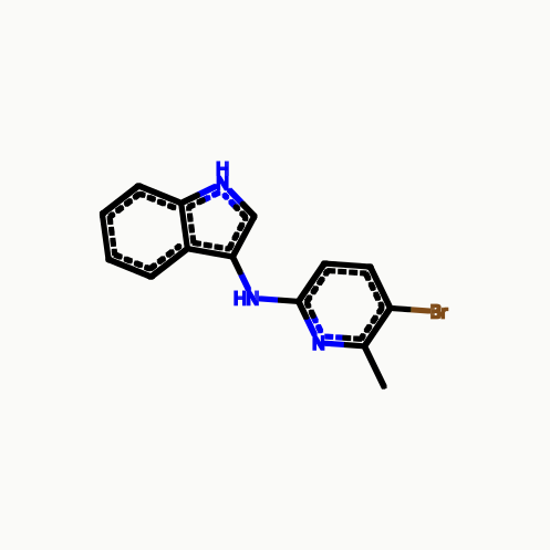 Cc1nc(Nc2c[nH]c3ccccc23)ccc1Br